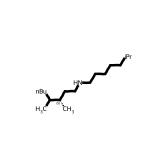 CCCCC(C)[C@@H](C)CCNCCCCCC(C)C